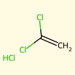 C=C(Cl)Cl.Cl